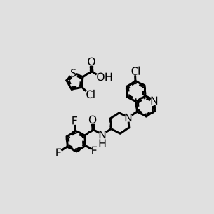 O=C(NC1CCN(c2ccnc3cc(Cl)ccc23)CC1)c1c(F)cc(F)cc1F.O=C(O)c1sccc1Cl